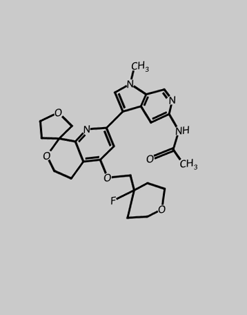 CC(=O)Nc1cc2c(-c3cc(OCC4(F)CCOCC4)c4c(n3)C3(CCOC3)OCC4)cn(C)c2cn1